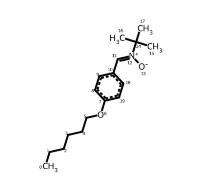 CCCCCCOc1ccc(C=[N+]([O-])C(C)(C)C)cc1